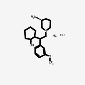 Cl.Cl.N[C@H]1CCCN(CC(c2cccc(OC(F)(F)F)c2)C2CCCCC2O)C1